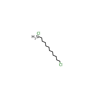 ClCCCCCCCCCCC[SiH2]Cl